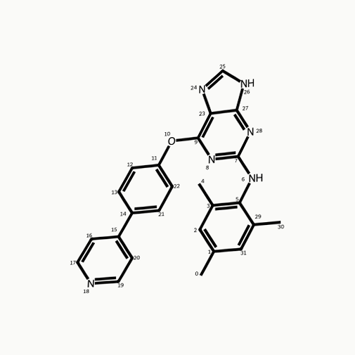 Cc1cc(C)c(Nc2nc(Oc3ccc(-c4ccncc4)cc3)c3nc[nH]c3n2)c(C)c1